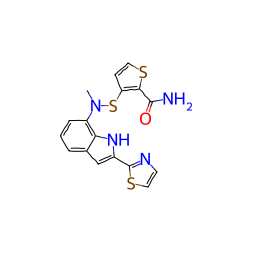 CN(Sc1ccsc1C(N)=O)c1cccc2cc(-c3nccs3)[nH]c12